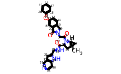 C[C@@]12C[C@@H]1N(C(=O)CN1Cc3ccc(Oc4ccccc4)cc3C1=O)[C@H](C(=O)NCc1cc3cnccc3[nH]1)C2